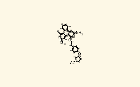 CC(=O)N1CCC(Oc2ccc(CCOc3nc(N)nc(-c4ccccc4)c3-c3cc(C)nc(C(F)(F)F)c3)cc2)C1